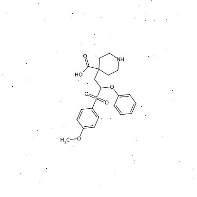 COc1ccc(S(=O)(=O)C(CC2(C(=O)O)CCNCC2)Oc2ccccc2)cc1